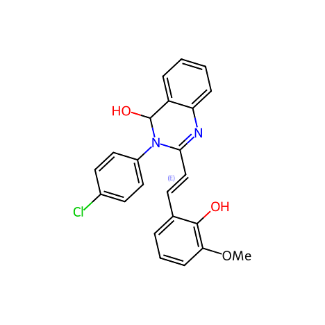 COc1cccc(/C=C/C2=Nc3ccccc3C(O)N2c2ccc(Cl)cc2)c1O